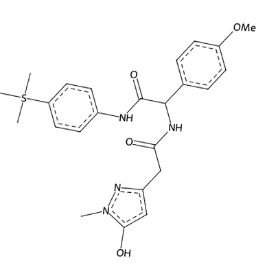 COc1ccc(C(NC(=O)Cc2cc(O)n(C)n2)C(=O)Nc2ccc(S(C)(C)C)cc2)cc1